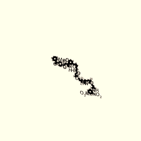 COc1ccc(-c2ccc(CNC(=O)CC(C)(C)OCCC(C)(C)n3cc(CC(C)(C)OCCC(C)(C)Nc4ccc([N+](=O)[O-])cc4[N+](=O)[O-])nn3)o2)c2[nH]cc(C(=O)C(=O)N3CCN(C(=O)c4ccccc4)CC3)c12